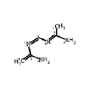 C=C(N)/N=C\N=C(/C)N